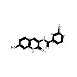 O=C(Nc1cc2ccc(O)cc2oc1=O)c1cccc(Cl)c1